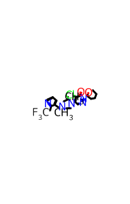 CC(c1cccnc1CC(F)(F)F)N1CCN(c2cnn(C3CCCCO3)c(=O)c2Cl)[C@H](C)C1